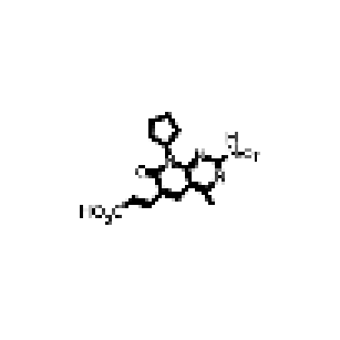 CCNc1nc(C)c2cc(/C=C/C(=O)O)c(=O)n(C3CCCC3)c2n1